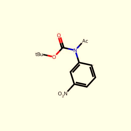 CC(=O)N(C(=O)OC(C)(C)C)c1[c]ccc([N+](=O)[O-])c1